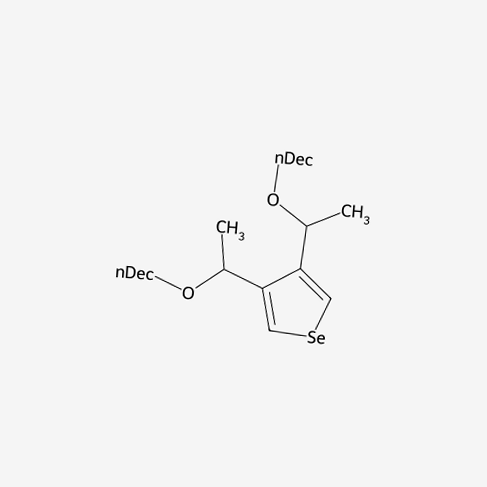 CCCCCCCCCCOC(C)c1c[se]cc1C(C)OCCCCCCCCCC